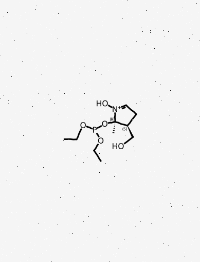 CCOP(OCC)O[C@]1(C)[C@H](CO)CC=[N+]1O